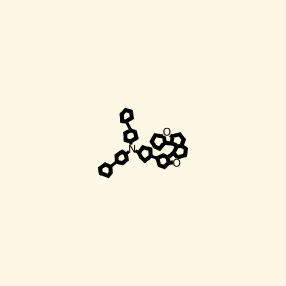 c1ccc(-c2ccc(N(c3ccc(-c4ccccc4)cc3)c3ccc(-c4ccc5oc6ccc7ccc8oc9ccccc9c8c7c6c5c4)cc3)cc2)cc1